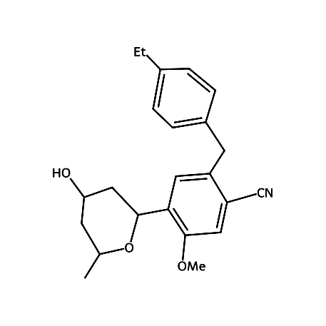 CCc1ccc(Cc2cc(C3CC(O)CC(C)O3)c(OC)cc2C#N)cc1